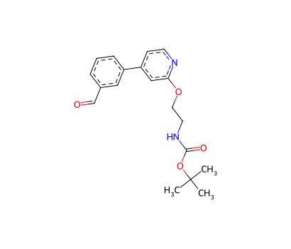 CC(C)(C)OC(=O)NCCOc1cc(-c2cccc(C=O)c2)ccn1